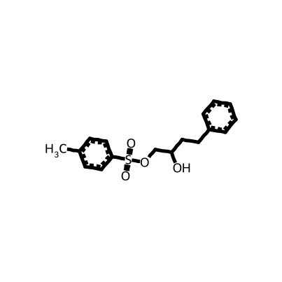 Cc1ccc(S(=O)(=O)OCC(O)CCc2ccccc2)cc1